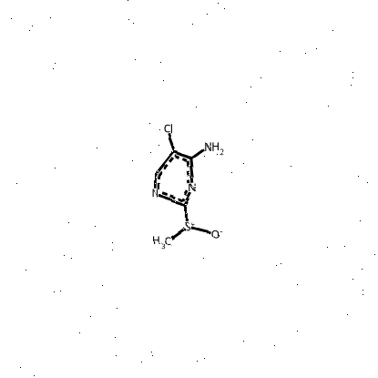 C[S+]([O-])c1ncc(Cl)c(N)n1